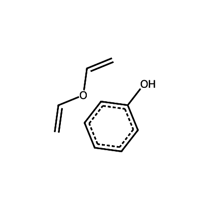 C=COC=C.Oc1ccccc1